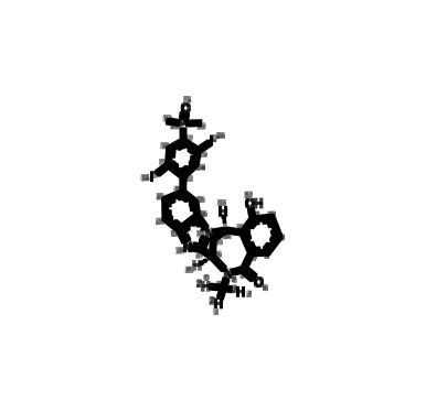 [2H]C([2H])([2H])N1C(=O)c2cccc(O)c2[C@H]2C[C@@H]1c1nc3ccc(-c4cc(F)c(P(C)(C)=O)cc4F)cc3n12